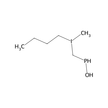 CCCCI(C)CPO